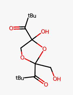 CC(C)(C)C(=O)C1(O)COC(CO)(C(=O)C(C)(C)C)O1